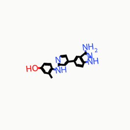 Cc1cc(O)ccc1Nc1cc(-c2ccc3[nH]nc(N)c3c2)ccn1